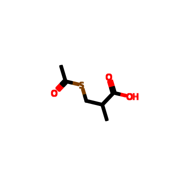 CC(=O)SCC(C)C(=O)O